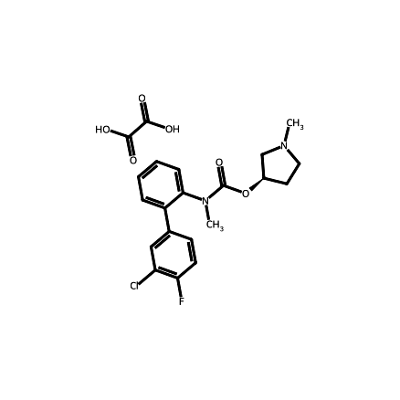 CN1CC[C@@H](OC(=O)N(C)c2ccccc2-c2ccc(F)c(Cl)c2)C1.O=C(O)C(=O)O